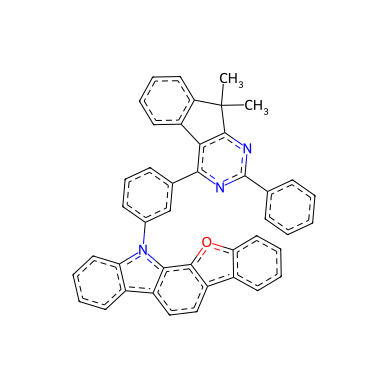 CC1(C)c2ccccc2-c2c(-c3cccc(-n4c5ccccc5c5ccc6c7ccccc7oc6c54)c3)nc(-c3ccccc3)nc21